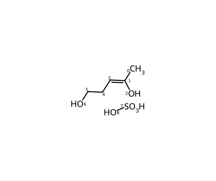 CC(O)=CCCO.O=S(=O)(O)O